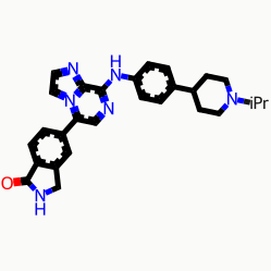 CC(C)N1CCC(c2ccc(Nc3ncc(-c4ccc5c(c4)CNC5=O)n4ccnc34)cc2)CC1